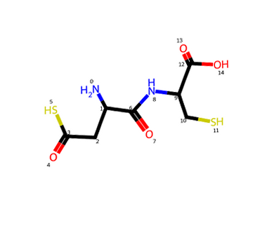 NC(CC(=O)S)C(=O)NC(CS)C(=O)O